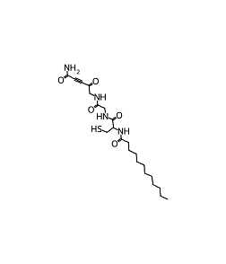 CCCCCCCCCCCC(=O)NC(CS)C(=O)NCC(=O)NCC(=O)C#CC(N)=O